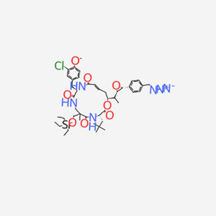 CC[Si](CC)(CC)OCC1(C)CNC(=O)[C@@H](Cc2ccc(OC)c(Cl)c2)NC(=O)/C=C/C[C@@H](C(C)[C@H]2O[C@@H]2c2ccc(CN=[N+]=[N-])cc2)OC(=O)[C@H](CC(C)(C)C)NC1=O